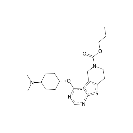 CCCOC(=O)N1CCc2sc3ncnc(O[C@H]4CC[C@H](N(C)C)CC4)c3c2C1